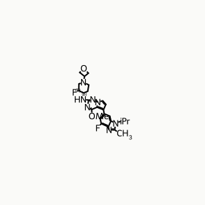 COc1nc(N[C@H]2CCN(C3COC3)C[C@H]2F)nn2ccc(-c3cc(F)c4nc(C)n(C(C)C)c4c3)c12